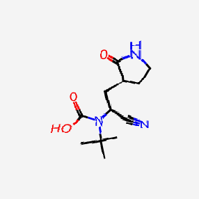 CC(C)(C)N(C(=O)O)C(C#N)C[C@@H]1CCNC1=O